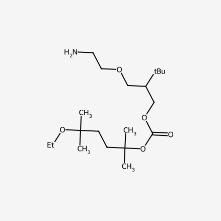 CCOC(C)(C)CCC(C)(C)OC(=O)OCC(COCCN)C(C)(C)C